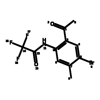 CC(=O)c1cc(Br)c(C)cc1NC(=O)C(F)(F)F